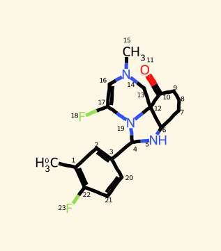 Cc1cc(C2NC3CCCC(=O)C34CN(C)C=C(F)N24)ccc1F